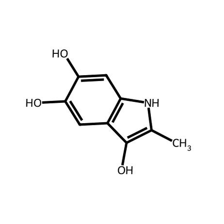 Cc1[nH]c2cc(O)c(O)cc2c1O